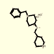 Cl.Cl.c1ccc(CN2CCC(OCC3CCNCC3)CC2)cc1